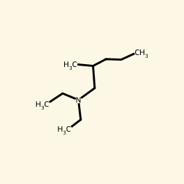 CCCC(C)CN(CC)CC